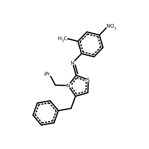 Cc1cc([N+](=O)[O-])ccc1N=c1scc(Cc2ccccc2)n1CC(C)C